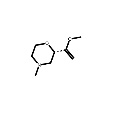 C=C(OC)[C@@H]1CN(C)CCO1